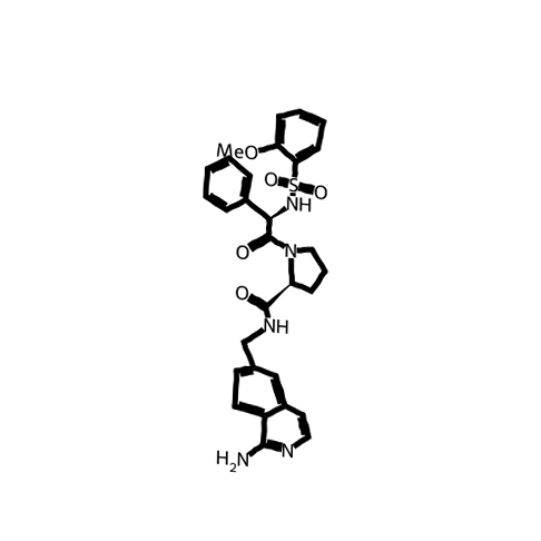 COc1ccccc1S(=O)(=O)N[C@@H](C(=O)N1CCC[C@H]1C(=O)NCc1ccc2c(N)nccc2c1)c1ccccc1